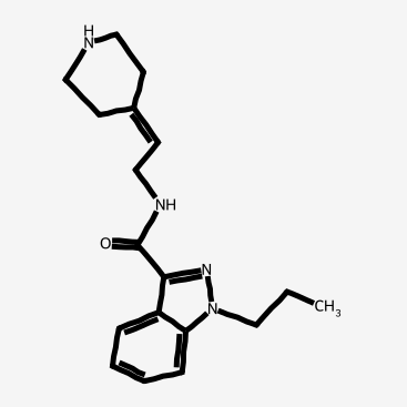 CCCn1nc(C(=O)NCC=C2CCNCC2)c2ccccc21